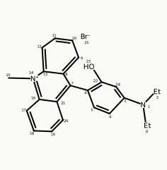 CCN(CC)c1ccc(-c2c3ccccc3[n+](C)c3ccccc23)c(O)c1.[Br-]